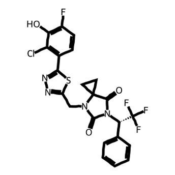 O=C1N([C@@H](c2ccccc2)C(F)(F)F)C(=O)C2(CC2)N1Cc1nnc(-c2ccc(F)c(O)c2Cl)s1